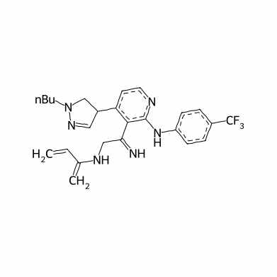 C=CC(=C)NCC(=N)c1c(C2C=NN(CCCC)C2)ccnc1Nc1ccc(C(F)(F)F)cc1